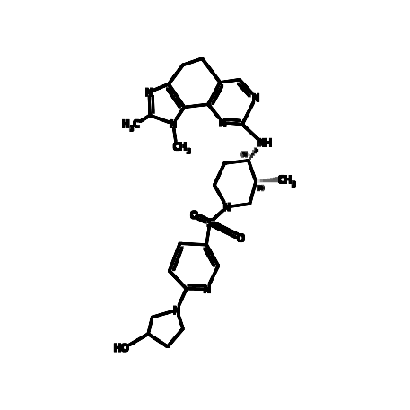 Cc1nc2c(n1C)-c1nc(N[C@H]3CCN(S(=O)(=O)c4ccc(N5CCC(O)C5)nc4)C[C@H]3C)ncc1CC2